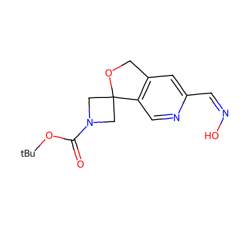 CC(C)(C)OC(=O)N1CC2(C1)OCc1cc(/C=N\O)ncc12